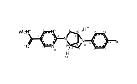 CNC(=O)c1cnc(N2C[C@@H]3C[C@H]2CN3c2ccc(C)cc2)nc1